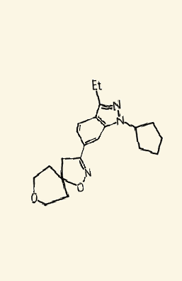 CCc1nn(C2CCCC2)c2cc(C3=NOC4(CCOCC4)C3)ccc12